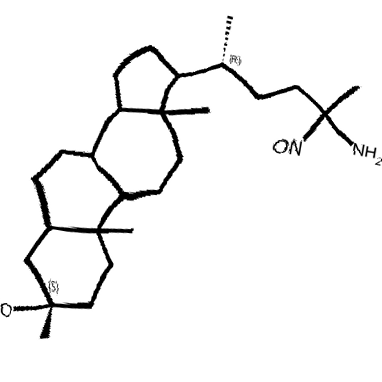 C[C@H](CCC(C)(N)N=O)C1CCC2C3CCC4C[C@@](C)(O)CCC4(C)C3CCC21C